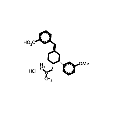 COc1cccc([C@H]2C/C(=C/c3cccc(C(=O)O)c3)CC[C@H]2CN(C)C)c1.Cl